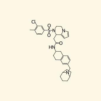 Cc1ccc(S(=O)(=O)N2CCn3cccc3C2CC(=O)NC2CCc3cc(CN4C5CCCC4CC5)ccc3C2)cc1Cl